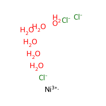 O.O.O.O.O.O.[Cl-].[Cl-].[Cl-].[Ni+3]